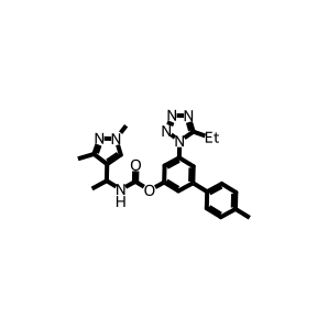 CCc1nnnn1-c1cc(OC(=O)NC(C)c2cn(C)nc2C)cc(-c2ccc(C)cc2)c1